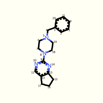 c1ccc(CN2CCN(c3ncc4c(n3)CCC4)CC2)cc1